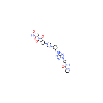 Cc1cccc(C(=O)NC2CC(n3cnc4c(NCc5cccc(N6CCN(c7ccc8c(c7)C(=O)N([C@H]7CCC(=O)NC7=O)C8=O)CC6)c5)ncnc43)C2)n1